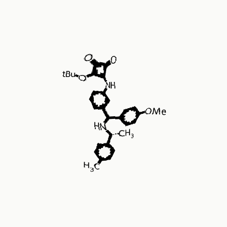 COc1ccc(C(N[C@H](C)c2ccc(C)cc2)c2cccc(Nc3c(OC(C)(C)C)c(=O)c3=O)c2)cc1